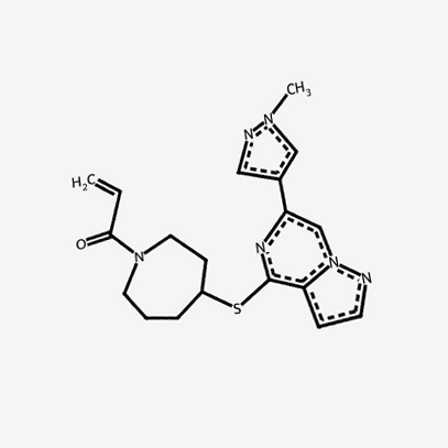 C=CC(=O)N1CCCC(Sc2nc(-c3cnn(C)c3)cn3nccc23)CC1